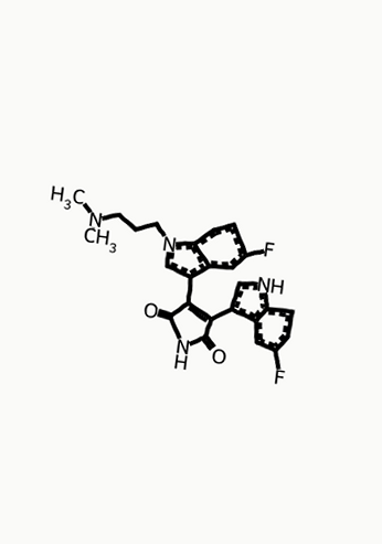 CN(C)CCCn1cc(C2=C(c3c[nH]c4ccc(F)cc34)C(=O)NC2=O)c2cc(F)ccc21